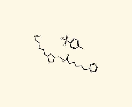 CCCCCCCCCCCCCCC[C@@H]1OC[C@@H](COC(=O)CCCCC[n+]2ccccc2)O1.Cc1ccc(S(=O)(=O)[O-])cc1